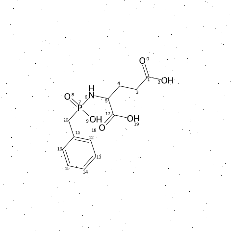 O=C(O)CCC(NP(=O)(O)Cc1ccccc1)C(=O)O